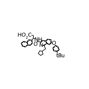 CC(C)(C)c1ccc(Oc2ccc3cc(C(=O)NC(CC(=O)O)c4ccc5ccccc5c4)nc(CC4CCCC4)c3c2)cc1